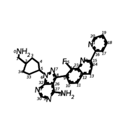 NCC1CCC(n2nc(-c3ccc4ccc(-c5ccccn5)nc4c3F)c3c(N)ncnc32)CC1